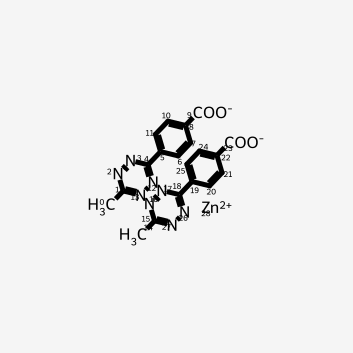 Cc1nnc(-c2ccc(C(=O)[O-])cc2)nn1.Cc1nnc(-c2ccc(C(=O)[O-])cc2)nn1.[Zn+2]